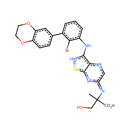 CC(CO)(N=c1cnc2c(Nc3cccc(-c4ccc5c(c4)OCCO5)c3Br)[nH]sc-2n1)C(=O)O